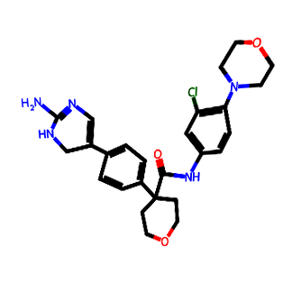 NC1=NC=C(c2ccc(C3(C(=O)Nc4ccc(N5CCOCC5)c(Cl)c4)CCOCC3)cc2)CN1